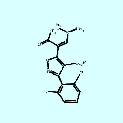 CN(C)C=C(C(=O)C(F)(F)F)c1onc(-c2c(F)cccc2Cl)c1C(=O)O